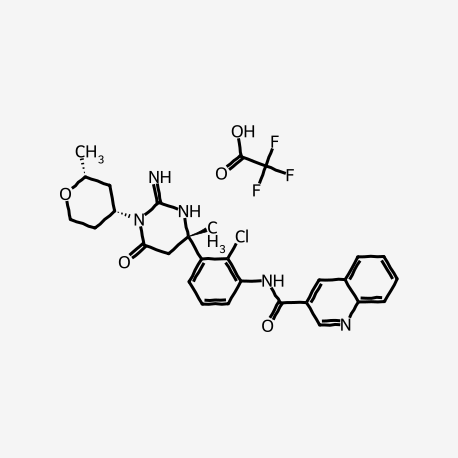 C[C@@H]1C[C@H](N2C(=N)N[C@](C)(c3cccc(NC(=O)c4cnc5ccccc5c4)c3Cl)CC2=O)CCO1.O=C(O)C(F)(F)F